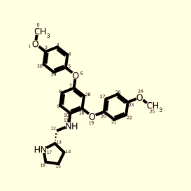 COc1ccc(Oc2ccc(NC[C@@H]3CCCN3)c(Oc3ccc(OC)cc3)c2)cc1